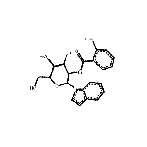 Nc1ccccc1C(=O)OC1C(O)C(O)C(CO)OC1n1ccc2ccccc21